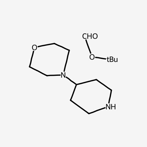 C1CC(N2CCOCC2)CCN1.CC(C)(C)OC=O